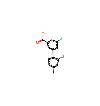 Cc1ccc(-c2cc(F)cc(C(=O)O)c2)c(Cl)c1